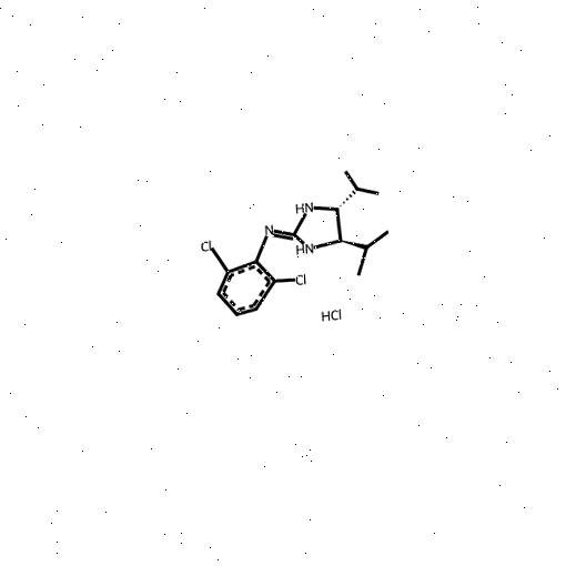 CC(C)[C@H]1NC(=Nc2c(Cl)cccc2Cl)N[C@@H]1C(C)C.Cl